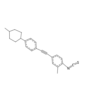 Cc1cc(C#Cc2ccc(C3CCC(C)CC3)cc2)ccc1N=C=S